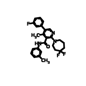 Cc1cccc(NC(=O)c2c(N3CCCC(F)(F)CC3)ncc(-c3cccc(F)c3)c2C)c1